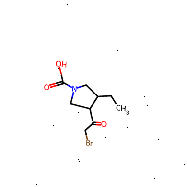 CCC1CN(C(=O)O)CC1C(=O)CBr